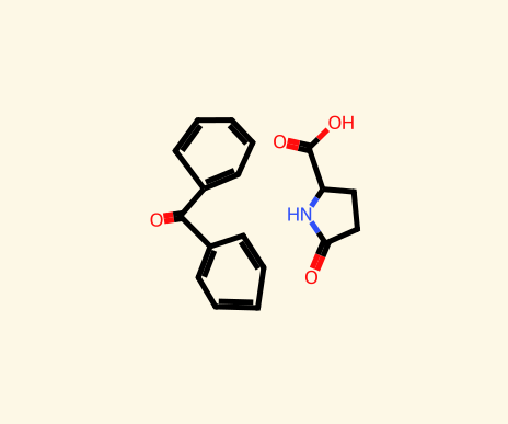 O=C(c1ccccc1)c1ccccc1.O=C1CCC(C(=O)O)N1